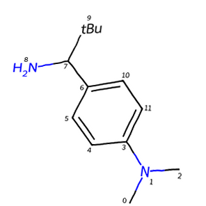 CN(C)c1ccc(C(N)C(C)(C)C)cc1